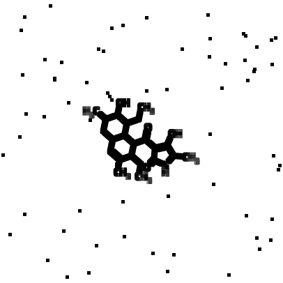 CCC1C(C)=CC2CC(C)C(O)C(CC)C2C1C(=O)C1=C(O)C(C)NC1=O